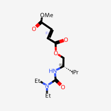 CCN(CC)C(=O)N[C@H](COC(=O)/C=C/C(=O)OC)C(C)C